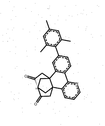 Cc1cc(C)c(-c2ccc3c(c2)C24CC(=O)[C@]5(C2)CC4(CC5=O)c2cccnc2-3)c(C)c1